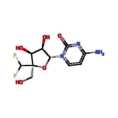 Nc1ccn([C@@H]2O[C@@](CO)(C(F)F)[C@@H](O)[C@H]2O)c(=O)n1